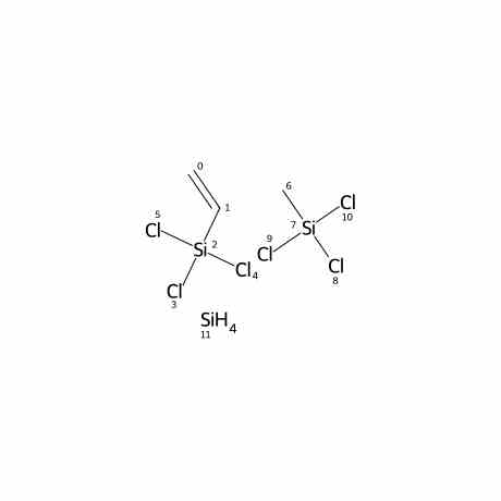 C=C[Si](Cl)(Cl)Cl.C[Si](Cl)(Cl)Cl.[SiH4]